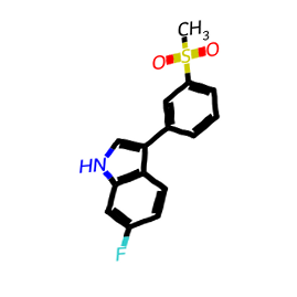 CS(=O)(=O)c1cccc(-c2c[nH]c3cc(F)ccc23)c1